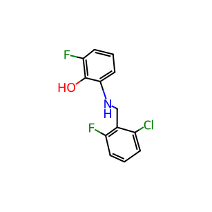 Oc1c(F)cccc1NCc1c(F)cccc1Cl